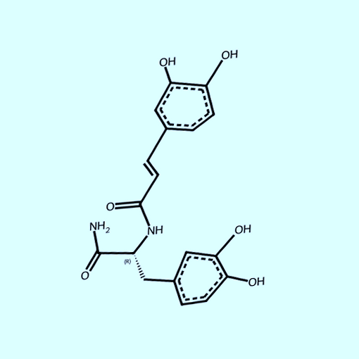 NC(=O)[C@@H](Cc1ccc(O)c(O)c1)NC(=O)C=Cc1ccc(O)c(O)c1